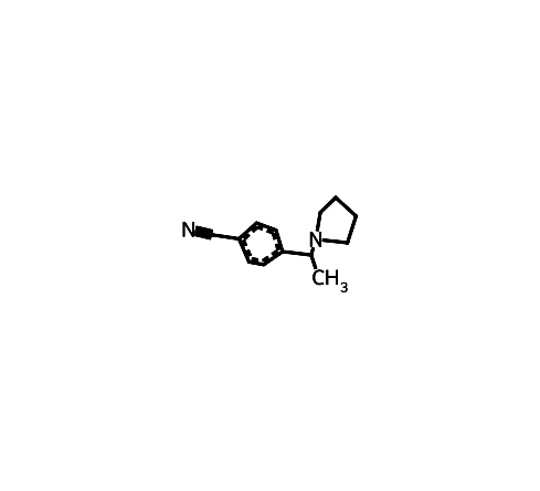 CC(c1ccc(C#N)cc1)N1CCCC1